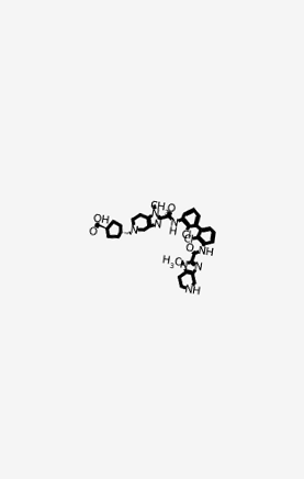 Cn1c(C(=O)Nc2cccc(-c3cccc(NC(=O)c4nc5c(n4C)CCN(C[C@H]4CC[C@H](C(=O)O)CC4)C5)c3Cl)c2Cl)nc2c1CCNC2